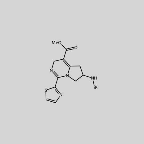 COC(=O)C1=C2CC(NC(C)C)CN2C(c2nccs2)=NC1